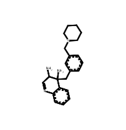 NC1C=Nc2ccccc2C1(N)Cc1cccc(CN2CCCCC2)c1